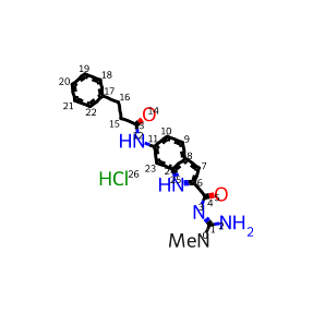 CNC(N)=NC(=O)c1cc2ccc(NC(=O)CCc3ccccc3)cc2[nH]1.Cl